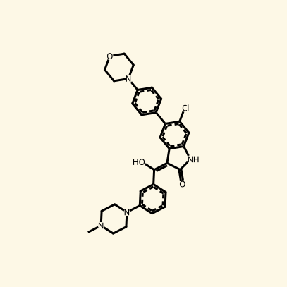 CN1CCN(c2cccc(C(O)=C3C(=O)Nc4cc(Cl)c(-c5ccc(N6CCOCC6)cc5)cc43)c2)CC1